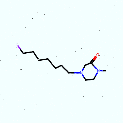 CN1CCN(CCCCCCCI)CC1=O